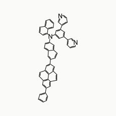 c1ccc(-c2cc3ccc4cc(-c5ccc6cc(N(c7cc(-c8cccnc8)cc(-c8cccnc8)c7)c7cccc8ccccc78)ccc6c5)cc5ccc(c2)c3c45)cc1